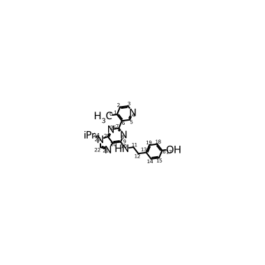 Cc1ccncc1-c1nc(NCCc2ccc(O)cc2)c2ncn(C(C)C)c2n1